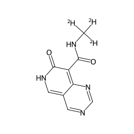 [2H]C([2H])([2H])NC(=O)c1c(=O)[nH]cc2cncnc12